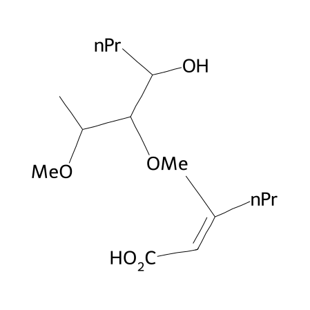 CCCC(C)=CC(=O)O.CCCC(O)C(OC)C(C)OC